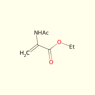 C=C(NC(C)=O)C(=O)OCC